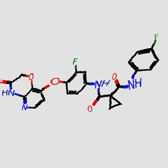 O=C1COc2c(Oc3ccc(NC(=O)C4(C(=O)Nc5ccc(F)cc5)CC4)cc3F)ccnc2N1